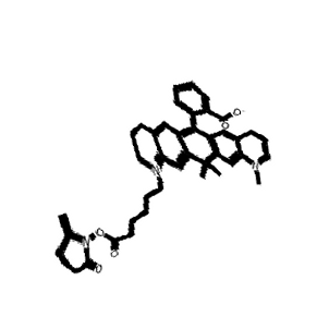 C=C1CCC(=O)N1OC(=O)CCCCC[N+]1=c2cc3c(cc2CCC1)=C(c1ccccc1C(=O)[O-])c1cc2c(cc1C3(C)C)N(C)CCC2